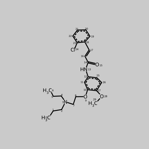 CCCN(CCC)CCOc1cc(NC(=O)C=Cc2ccccc2Cl)ccc1OC